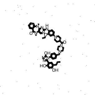 CCCc1cc(-c2nnc(O)n2-c2ccc(CN3CCN(C(=O)C4CCN(c5ccc(Nc6ncc7c(n6)N(C)c6ccccc6C(=O)N7C)c(OCC)c5)CC4)CC3)cc2)c(O)cc1O